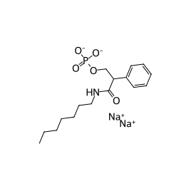 CCCCCCCNC(=O)C(COP(=O)([O-])[O-])c1ccccc1.[Na+].[Na+]